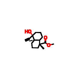 C#C[C@@]1(O)CCCC2[C@](C)(C(=O)OC)CCC[C@]21C